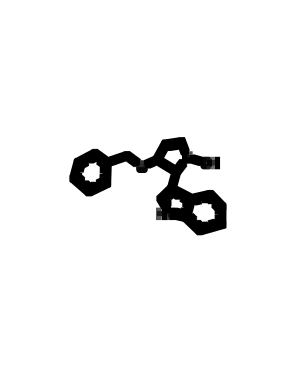 ON1C=CC(OCc2ccccc2)C1c1c[nH]c2ccccc12